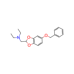 CCN(CC)CC1Oc2ccc(OCc3ccccc3)cc2O1